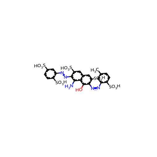 Cc1ccc(S(=O)(=O)O)c(/N=N\c2c(S(=O)(=O)O)cc3cc(S(=O)(=O)O)c(N=Nc4cc(S(=O)(=O)O)ccc4S(=O)(=O)O)c(N)c3c2O)c1